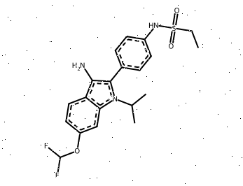 CCS(=O)(=O)Nc1ccc(-c2c(N)c3ccc(OC(F)F)cc3n2C(C)C)cc1